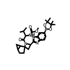 COC(=O)NC(C(=O)N1C(c2nc3ccc(B4OC(C)(C)C(C)(C)O4)cc3[nH]2)CC12CCC1CC12)C(C)C